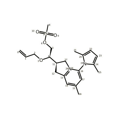 C=CCO[C@@H](COS(C)(=O)=O)[C@@H]1Cc2cc(C)cc(-n3c(C)ccc3C)[n+]2C1